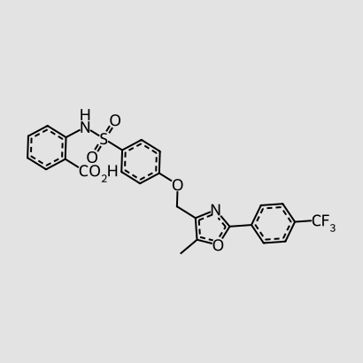 Cc1oc(-c2ccc(C(F)(F)F)cc2)nc1COc1ccc(S(=O)(=O)Nc2ccccc2C(=O)O)cc1